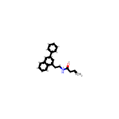 C=CCC(=O)NCCc1cc(-c2ccccc2)cc2ccccc12